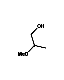 CO[C](C)CO